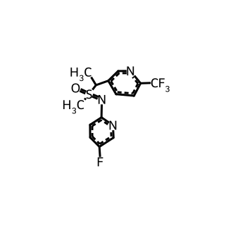 CC(c1ccc(C(F)(F)F)nc1)S(C)(=O)=Nc1ccc(F)cn1